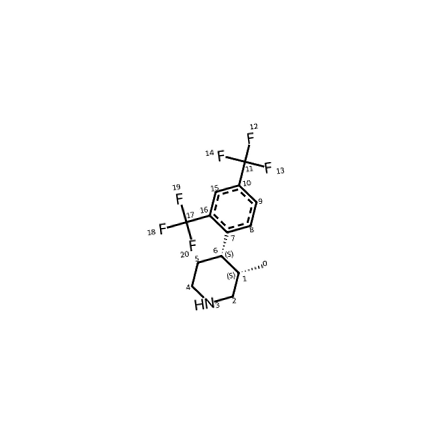 C[C@@H]1CNCC[C@@H]1c1ccc(C(F)(F)F)cc1C(F)(F)F